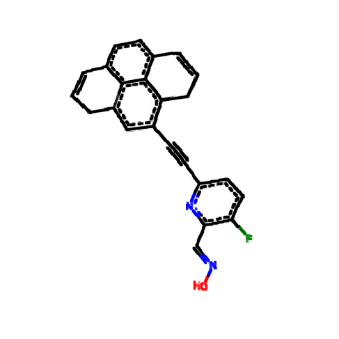 O/N=C/c1nc(C#Cc2cc3c4c(ccc5c4c2CC=C5)C=CC3)ccc1F